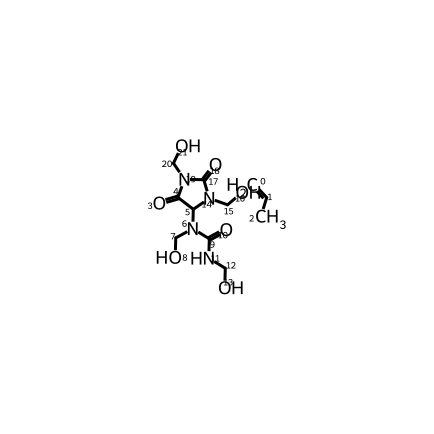 C=CC.O=C1C(N(CO)C(=O)NCO)N(CO)C(=O)N1CO